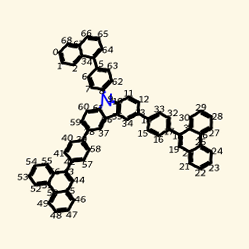 c1ccc2c(-c3ccc(-n4c5ccc(-c6ccc(-c7cc8ccccc8c8ccccc78)cc6)cc5c5cc(-c6ccc(-c7cc8ccccc8c8ccccc78)cc6)ccc54)cc3)cccc2c1